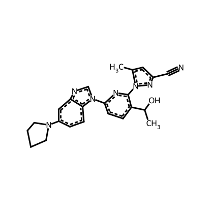 Cc1cc(C#N)nn1-c1nc(-n2cnc3cc(N4CCCC4)ccc32)ccc1C(C)O